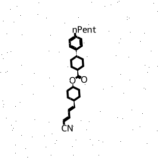 CCCCCc1ccc([C@H]2CC[C@H](C(=O)O[C@H]3CC[C@H](C=CC=CC#N)CC3)CC2)cc1